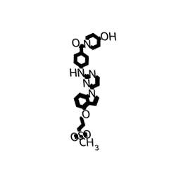 CS(=O)(=O)CCCOc1cccc2c1ccn2-c1ccnc(NC2CCC(C(=O)N3CCC(O)CC3)CC2)n1